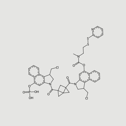 CN(CCSSc1ccccn1)C(=O)Oc1cc2c(c3ccccc13)C(CCl)CN2C(=O)C12CC3(C(=O)N4CC(CCl)c5c4cc(OP(=O)(O)O)c4ccccc54)CC13C2